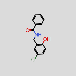 O=C(NCc1cc(Cl)ccc1O)c1ccccc1